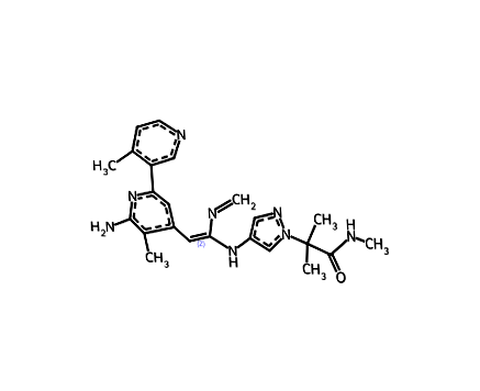 C=N/C(=C\c1cc(-c2cnccc2C)nc(N)c1C)Nc1cnn(C(C)(C)C(=O)NC)c1